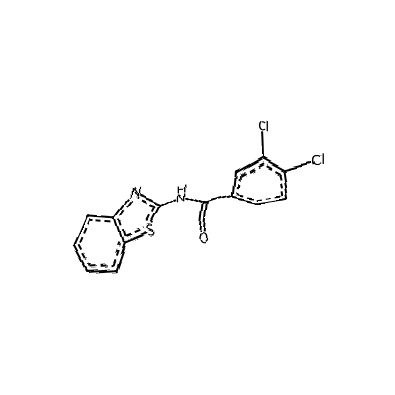 O=C(Nc1nc2ccccc2s1)c1ccc(Cl)c(Cl)c1